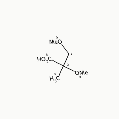 COCC(C)(OC)C(=O)O